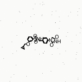 O=C1CN(c2ccc(CNS(=O)(=O)c3cccc(OCC4CC4)c3)cc2)C(=O)N1